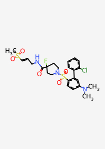 CN(C)c1ccc(S(=O)(=O)N2CCC(F)(C(=O)NC/C=C/S(C)(=O)=O)CC2)c(-c2ccccc2Cl)c1